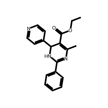 CCOC(=O)C1=C(C)N=C(c2ccccc2)NC1c1ccncc1